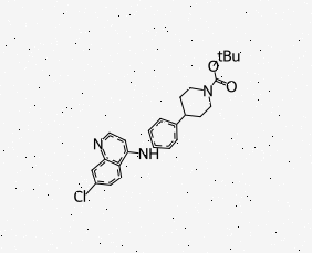 CC(C)(C)OC(=O)N1CCC(c2ccc(Nc3ccnc4cc(Cl)ccc34)cc2)CC1